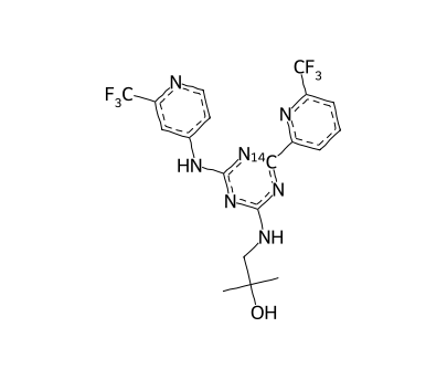 CC(C)(O)CNc1nc(Nc2ccnc(C(F)(F)F)c2)n[14c](-c2cccc(C(F)(F)F)n2)n1